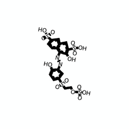 O=S(=O)(O)OCCS(=O)(=O)c1ccc(O)c(/N=N/c2c(O)c(S(=O)(=O)O)cc3cc(S(=O)(=O)O)ccc23)c1